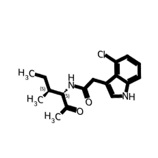 CC[C@H](C)[C@H](NC(=O)Cc1c[nH]c2cccc(Cl)c12)C(C)=O